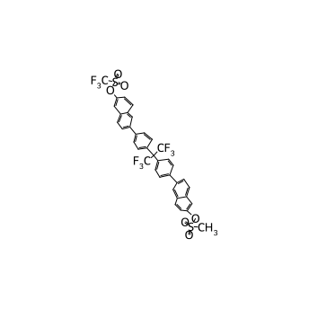 CS(=O)(=O)Oc1ccc2cc(-c3ccc(C(c4ccc(-c5ccc6cc(OS(=O)(=O)C(F)(F)F)ccc6c5)cc4)(C(F)(F)F)C(F)(F)F)cc3)ccc2c1